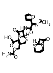 CO/N=C(/C(=O)N[C@@H]1C(=O)N2C(C(=O)O)=C(COC(N)=O)CS[C@H]12)c1ccco1.O=C1C[C@H]2SCC=CN12